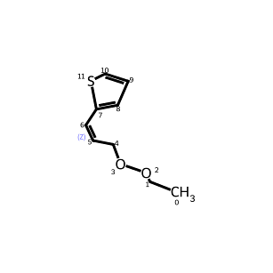 CCOOC/C=C\c1cccs1